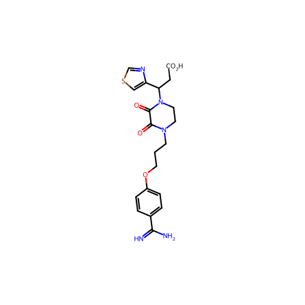 N=C(N)c1ccc(OCCCN2CCN(C(CC(=O)O)c3cscn3)C(=O)C2=O)cc1